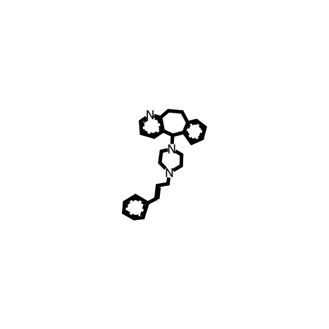 C(=Cc1ccccc1)CN1CCN(C2c3ccccc3CCc3ncccc32)CC1